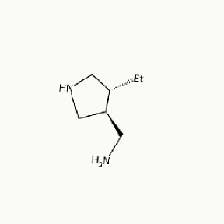 CC[C@H]1CNC[C@@H]1CN